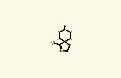 NC1=NCCC12CCNCC2